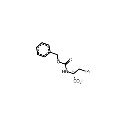 CC(C)C[C@@H](NC(=O)OCc1ccccc1)C(=O)O